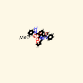 COc1cccc(NC(=O)C2C3C=CC4(O3)C2C(=O)N(CC2CCCO2)C4C(=O)NC2CCCCC2C)c1